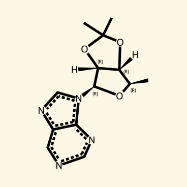 C[C@H]1O[C@@H](n2cnc3cncnc32)[C@@H]2OC(C)(C)O[C@@H]21